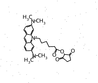 CN(C)c1ccc2cc3ccc(N(C)C)cc3[n+](CCCCCC(=O)OC3C(=O)CCC3=O)c2c1